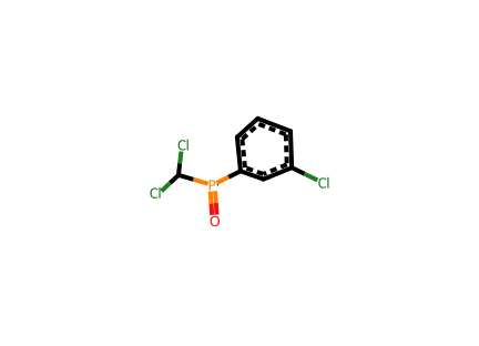 O=[P](c1cccc(Cl)c1)C(Cl)Cl